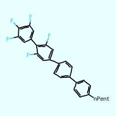 CCCCCc1ccc(-c2ccc(-c3cc(F)c(-c4cc(F)c(F)c(F)c4)c(F)c3)cc2)cc1